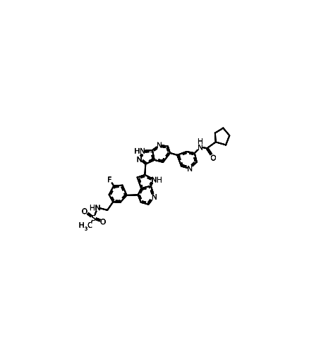 CS(=O)(=O)NCc1cc(F)cc(-c2ccnc3[nH]c(-c4n[nH]c5ncc(-c6cncc(NC(=O)C7CCCC7)c6)cc45)cc23)c1